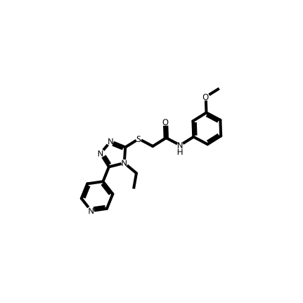 CCn1c(SCC(=O)Nc2cccc(OC)c2)nnc1-c1ccncc1